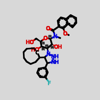 COc1c(C(=O)N(C)[C@@H]2O[C@H](CO)[C@H](O)[C@H](N3NNC(c4cccc(F)c4)C3C3CCCCCCCC3)[C@H]2O)ccc2ccccc12